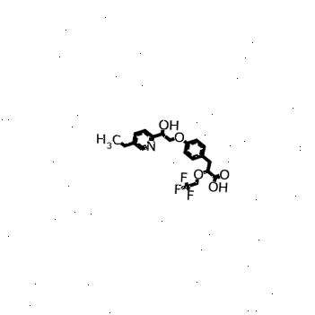 CCc1ccc(C(O)COc2ccc(CC(OCC(F)(F)F)C(=O)O)cc2)nc1